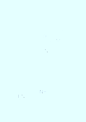 CC(C)(C)OC(=O)N1CC=C(c2c[nH]c(N)c2)CC1